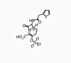 CCS(=O)(=O)OC1=C(C(=O)O)N2C(=O)C(NC(=O)Cc3cccs3)[C@@H]2SC1